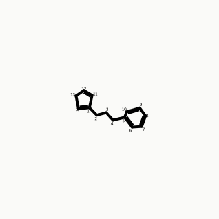 [C]1=C(CCCc2ccccc2)C=CC1